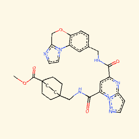 COC(=O)C12CCC(CNC(=O)c3cc(C(=O)NCc4ccc5c(c4)-n4ccnc4CO5)nc4ccnn34)(CC1)CC2